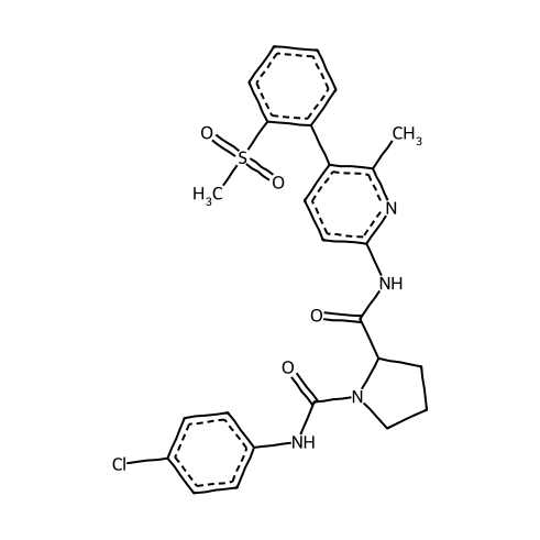 Cc1nc(NC(=O)C2CCCN2C(=O)Nc2ccc(Cl)cc2)ccc1-c1ccccc1S(C)(=O)=O